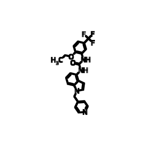 CCOc1ccc(C(F)(F)F)cc1NC(=O)Nc1cccc2c1ccn2Cc1ccncc1